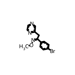 CON=C(Cc1cnccn1)c1ccc(Br)cc1